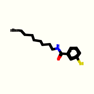 CCCCCCCCCCCCCCCCCCNC(=O)c1cccc(S)c1